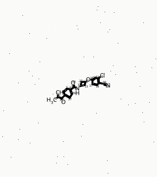 CC(C)C(=O)c1ccc(C(=O)N[C@H]2C[C@H](Oc3ccc(C#N)c(Cl)c3)C2)cc1